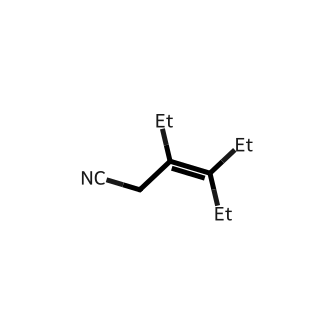 CCC(CC)=C(CC)CC#N